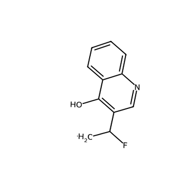 [CH2]C(F)c1cnc2ccccc2c1O